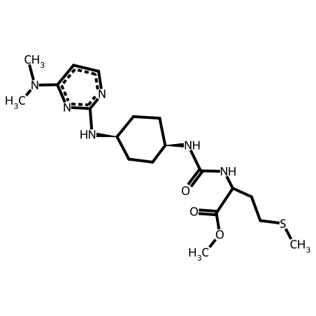 COC(=O)C(CCSC)NC(=O)N[C@H]1CC[C@@H](Nc2nccc(N(C)C)n2)CC1